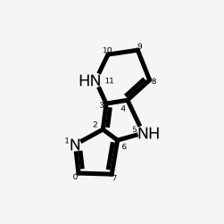 C1=Nc2c3c([nH]c2=C1)=CCCN3